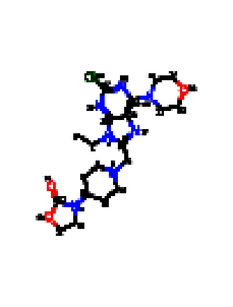 CCn1c(CN2CCC(N3CCOC3=O)CC2)nc2c(N3CCOCC3)nc(Cl)nc21